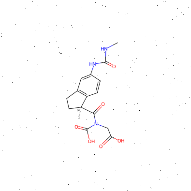 CNC(=O)Nc1ccc2c(c1)CC[C@]2(C)C(=O)N(CC(=O)O)C(=O)O